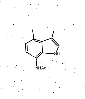 CC(=O)Nc1ccc(C)c2c(C)c[nH]c12